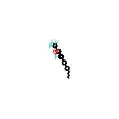 CCCCCC1CCC(C2CCC(c3ccc(C4CCC(c5cc(F)c(F)c(F)c5)OC4)c(F)c3)CC2)CC1